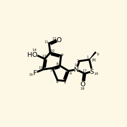 C[C@@H]1CN(C2=CCc3c2cc(C=O)c(O)c3F)C(=O)S1